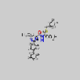 Cc1cc(C(=O)NC(CSCc2ccccc2)C(=O)O)nc(-c2ccc(-c3ccccc3)cc2)n1